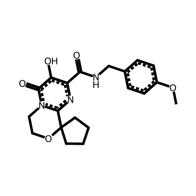 COc1ccc(CNC(=O)c2nc3n(c(=O)c2O)CCOC32CCCC2)cc1